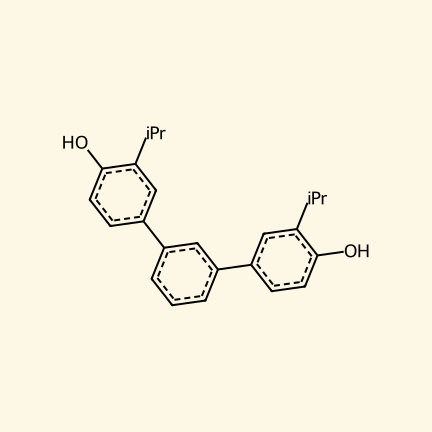 CC(C)c1cc(-c2cccc(-c3ccc(O)c(C(C)C)c3)c2)ccc1O